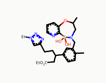 CCOC(=O)CC(CCc1cn(CC)nn1)c1ccc(C)c(CN2CC(C)Oc3cccnc3S2(O)O)c1